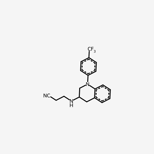 N#CCCNC1Cc2ccccc2N(c2ccc(C(F)(F)F)cc2)C1